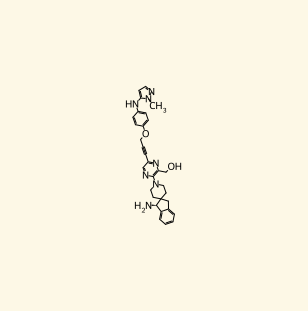 Cn1nccc1Nc1ccc(OCC#Cc2cnc(N3CCC4(CC3)Cc3ccccc3[C@H]4N)c(CO)n2)cc1